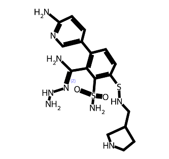 NN/N=C(\N)c1c(-c2ccc(N)nc2)ccc(SNCC2CCNC2)c1S(N)(=O)=O